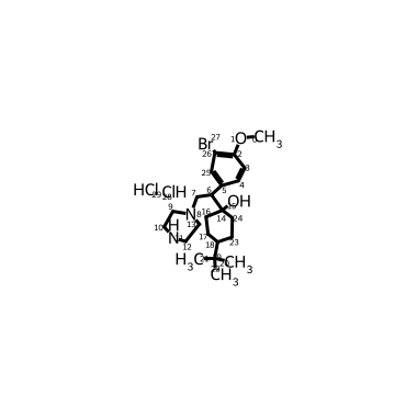 COc1ccc(C(CN2CCNCC2)C2(O)CCC(C(C)(C)C)CC2)cc1Br.Cl.Cl